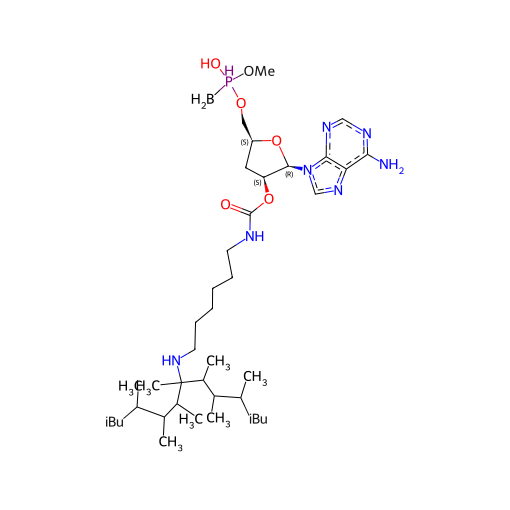 B[PH](O)(OC)OC[C@@H]1C[C@H](OC(=O)NCCCCCCNC(C)(C(C)C(C)C(C)C(C)CC)C(C)C(C)C(C)C(C)CC)[C@H](n2cnc3c(N)ncnc32)O1